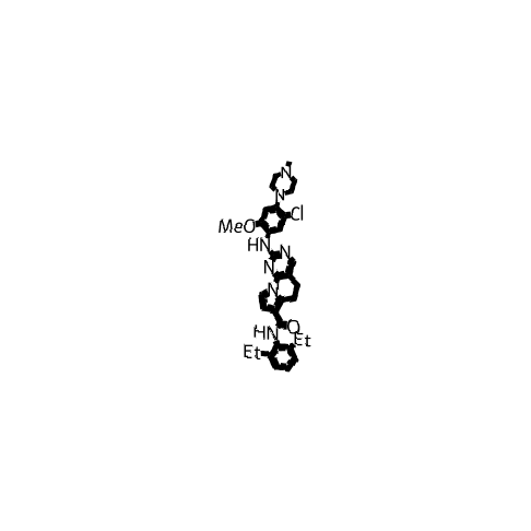 CCc1cccc(CC)c1NC(=O)c1ccn2c1CCc1cnc(Nc3cc(Cl)c(N4CCN(C)CC4)cc3OC)nc1-2